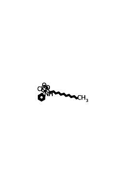 CCCCCCCCCCCCSC1(S(=O)(=O)Cl)Nc2ccccc2S1